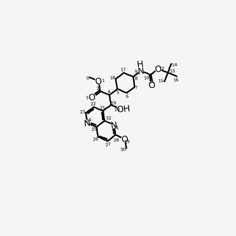 COC(=O)C(C1CCC(NC(=O)OC(C)(C)C)CC1)C(O)c1ccnc2ccc(OC)nc12